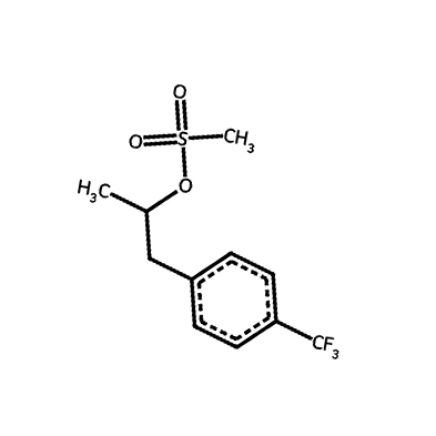 CC(Cc1ccc(C(F)(F)F)cc1)OS(C)(=O)=O